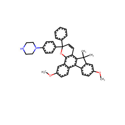 COc1ccc2c(c1)C(C)(C)c1c3c(c4cc(OC)ccc4c1-2)OC(c1ccccc1)(c1ccc(N2CCNCC2)cc1)C=C3